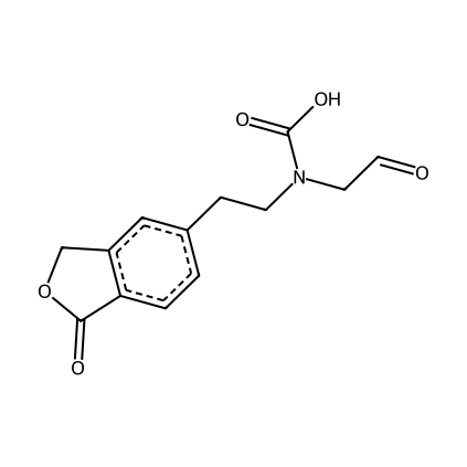 O=CCN(CCc1ccc2c(c1)COC2=O)C(=O)O